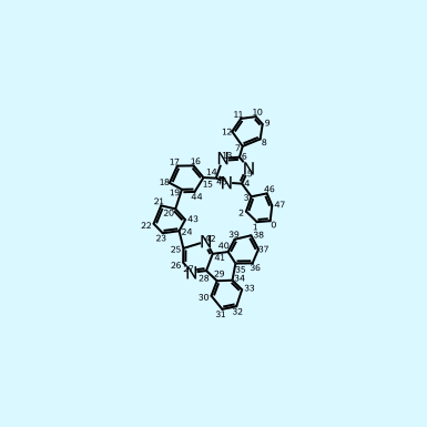 c1ccc(-c2nc(-c3ccccc3)nc(-c3cccc(-c4cccc(-c5cnc6c7ccccc7c7ccccc7c6n5)c4)c3)n2)cc1